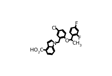 CC(Oc1ccc(Cl)cc1Cn1ccc2c(C(=O)O)cccc21)c1ccc(F)cc1F